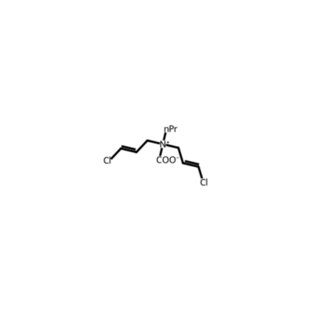 CCC[N+](CC=CCl)(CC=CCl)C(=O)[O-]